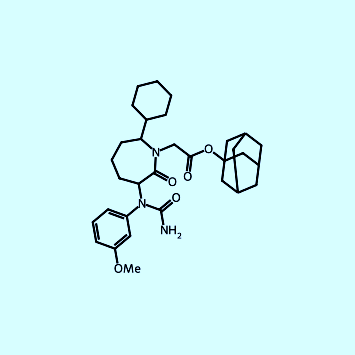 COc1cccc(N(C(N)=O)C2CCCC(C3CCCCC3)N(CC(=O)OC34CC5CC(CC(C5)C3)C4)C2=O)c1